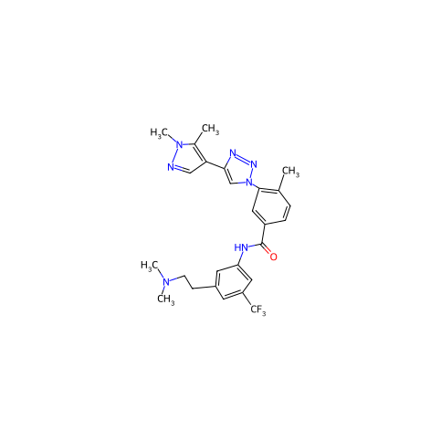 Cc1ccc(C(=O)Nc2cc(CCN(C)C)cc(C(F)(F)F)c2)cc1-n1cc(-c2cnn(C)c2C)nn1